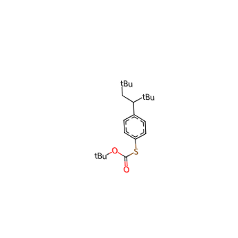 CC(C)(C)CC(c1ccc(SC(=O)OC(C)(C)C)cc1)C(C)(C)C